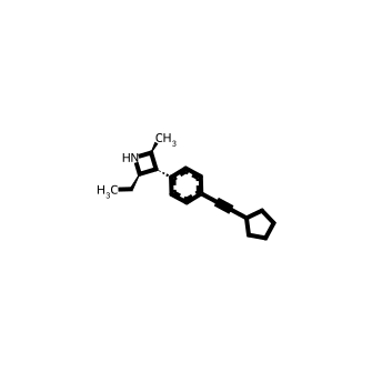 CC[C@H]1N[C@@H](C)[C@@H]1c1ccc(C#CC2CCCC2)cc1